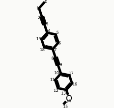 CCC#Cc1ccc(C#Cc2ccc(OC)cc2)cc1